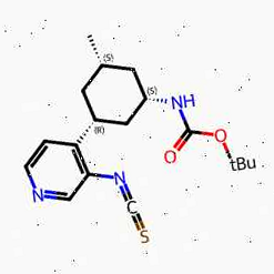 C[C@@H]1C[C@H](NC(=O)OC(C)(C)C)C[C@H](c2ccncc2N=C=S)C1